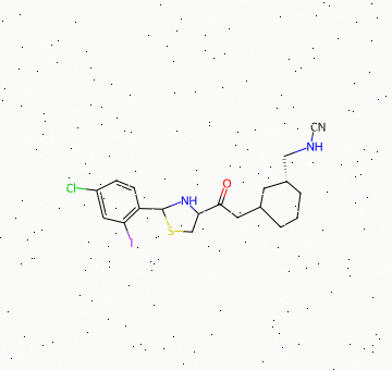 N#CNC[C@@H]1CCCC(CC(=O)C2CSC(c3ccc(Cl)cc3I)N2)C1